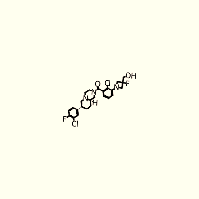 O=C(c1cccc(N2CC(F)(CO)C2)c1Cl)N1CCN2C[C@@H](c3ccc(F)c(Cl)c3)CC[C@@H]2C1